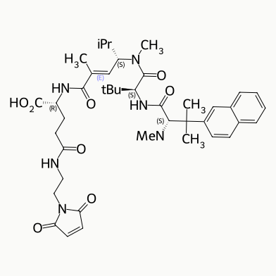 CN[C@H](C(=O)N[C@H](C(=O)N(C)[C@H](/C=C(\C)C(=O)N[C@H](CCC(=O)NCCN1C(=O)C=CC1=O)C(=O)O)C(C)C)C(C)(C)C)C(C)(C)c1ccc2ccccc2c1